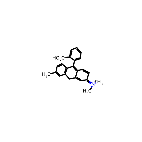 Cc1ccc2c(c1)CC1=CC(=[N+](C)C)C=CC1=C2c1ccccc1C(=O)O